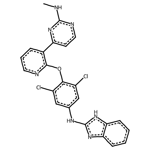 CNc1nccc(-c2cccnc2Oc2c(Cl)cc(Nc3nc4ccccc4[nH]3)cc2Cl)n1